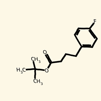 CC(C)(C)OC(=O)CCCc1ccc(F)cc1